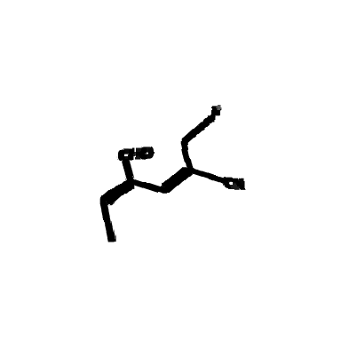 C/C=C(C=O)\C=C(\C#N)CF